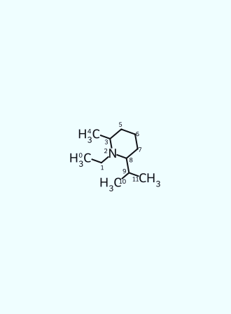 CCN1C(C)CCCC1C(C)C